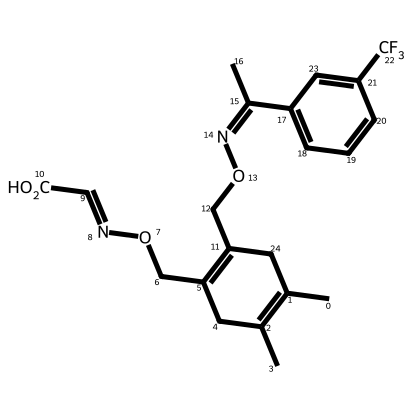 CC1=C(C)CC(CO/N=C/C(=O)O)=C(CO/N=C(/C)c2cccc(C(F)(F)F)c2)C1